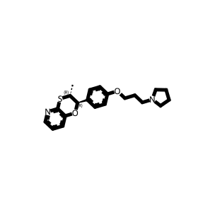 C[C@H]1Sc2ncccc2O[C@@H]1c1ccc(OCCCN2CCCC2)cc1